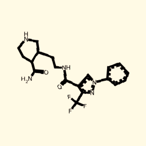 NC(=O)C1CCNCC1CCNC(=O)c1cn(-c2ccccc2)nc1C(F)(F)F